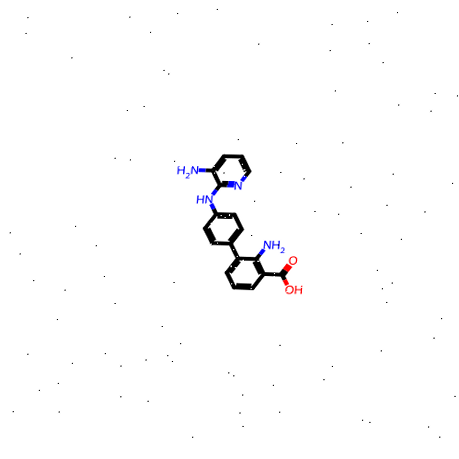 Nc1cccnc1Nc1ccc(-c2cccc(C(=O)O)c2N)cc1